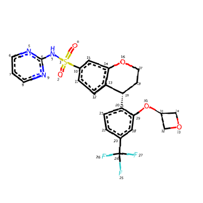 O=S(=O)(Nc1ncccn1)c1ccc2c(c1)OCC[C@@H]2c1ccc(C(F)(F)F)cc1OC1COC1